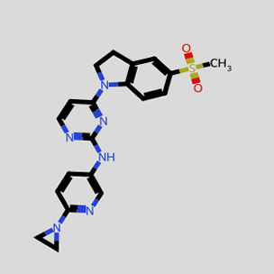 CS(=O)(=O)c1ccc2c(c1)CCN2c1ccnc(Nc2ccc(N3CC3)nc2)n1